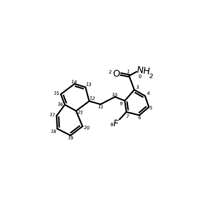 NC(=O)c1cccc(F)c1CCC1C=CC=C2C=CC=CC21